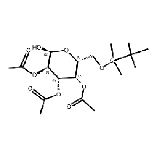 CC(=O)O[C@@H]1[C@@H](OC(C)=O)[C@@H](O)O[C@H](CO[Si](C)(C)C(C)(C)C)[C@@H]1OC(C)=O